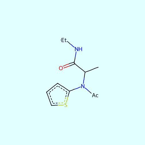 C[CH]NC(=O)C(C)N(C(C)=O)c1cccs1